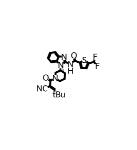 CC(C)(C)C=C(C#N)C(=O)N1CCC[C@@H](n2c(NC(=O)c3ccc(C(F)F)s3)nc3ccccc32)C1